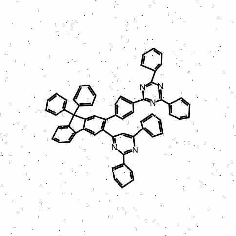 c1ccc(-c2cc(-c3cc4c(cc3-c3ccc(-c5nc(-c6ccccc6)nc(-c6ccccc6)n5)cc3)C(c3ccccc3)(c3ccccc3)c3ccccc3-4)nc(-c3ccccc3)n2)cc1